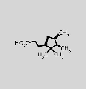 C=C1C=C(CCC(=O)O)C(C)(C)C1C